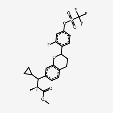 COC(=O)[C@@H](C)C(c1ccc2c(c1)OC(c1ccc(OS(=O)(=O)C(F)(F)F)cc1F)CC2)C1CC1